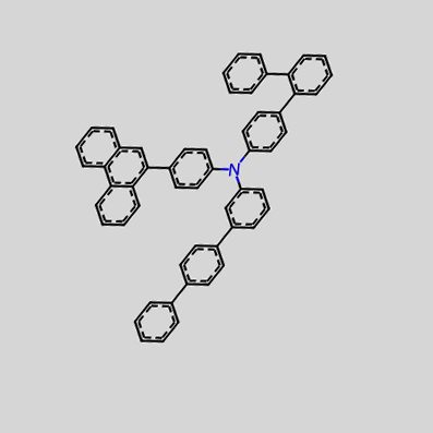 c1ccc(-c2ccc(-c3cccc(N(c4ccc(-c5ccccc5-c5ccccc5)cc4)c4ccc(-c5cc6ccccc6c6ccccc56)cc4)c3)cc2)cc1